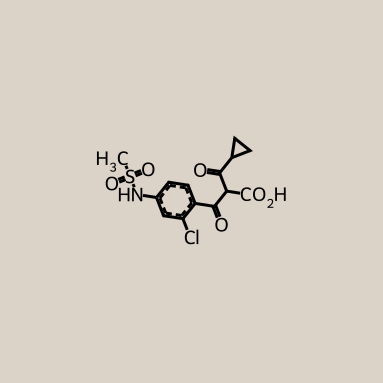 CS(=O)(=O)Nc1ccc(C(=O)C(C(=O)O)C(=O)C2CC2)c(Cl)c1